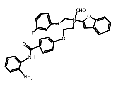 Nc1ccccc1NC(=O)c1ccc(OCC[N+](C=O)(COc2cccc(F)c2)c2cc3ccccc3o2)cc1